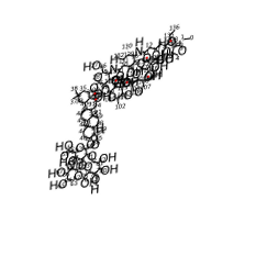 CC[C@@H]1OCC(O)(O[C@@H](C[C@H](O)CC(=O)N[C@@H](C[C@H](O)CC(=O)N[C@H]2C(CO)O[C@@H](OC(=O)[C@]34CCC(C)(C)CC3C3=CCC5C6(C)CC[C@H](O[C@@H]7OC(C(=O)O)[C@@H](O)[C@H](O[C@@H]8OC[C@@H](O)[C@H](O)C8O)C7O[C@@H]7OC(CO)[C@H](O)[C@H](O)C7O)[C@](C)(C=O)[C@@H]6CCC5(C)[C@]3(C)CC4O)C(O[C@@H]3OC(C)[C@H](O[C@@H]4OC[C@@H](O)C(O[C@@H]5OC[C@@](O)(CO)C5O)C4O)C(O)C3O)C2O)[C@@H](C)CC)[C@@H](C)CC)C1O